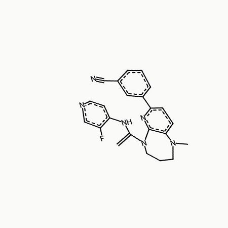 C=C(Nc1ccncc1F)N1CCCN(C)c2ccc(-c3cccc(C#N)c3)nc21